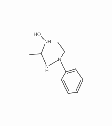 CCN(NC(C)NO)c1ccccc1